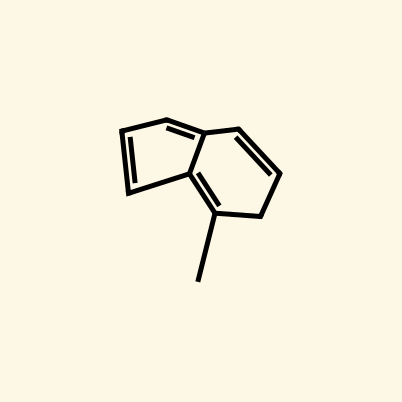 CC1=C2C=CC=C2C=CC1